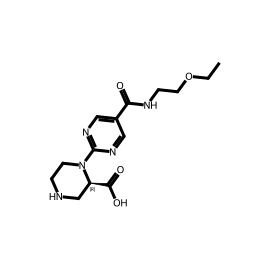 CCOCCNC(=O)c1cnc(N2CCNC[C@@H]2C(=O)O)nc1